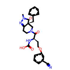 CN1N=C2CCN(C(=O)[C@@H](CCOc3cccc(C#N)c3)NC(=O)O)C[C@@]2(Cc2ccccc2)C1=O